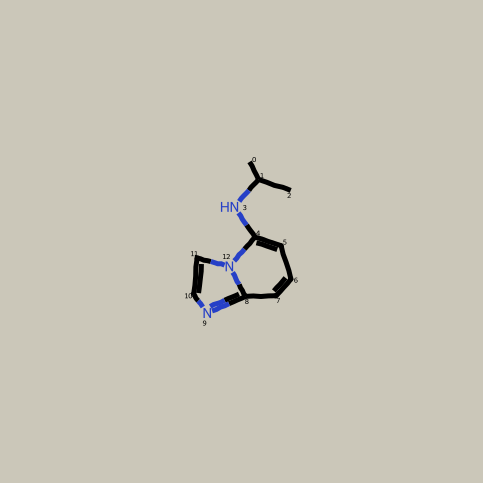 CC(C)Nc1cccc2nccn12